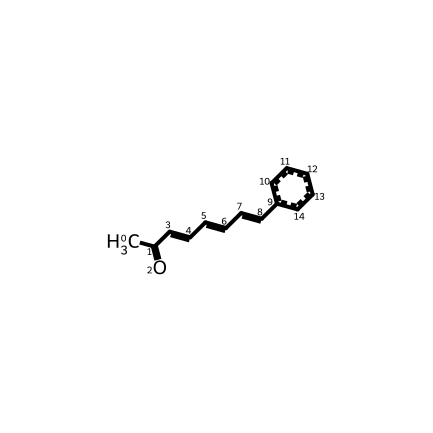 CC(=O)/C=C/C=C/C=C/c1ccccc1